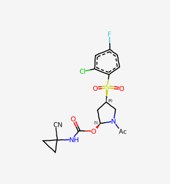 CC(=O)N1C[C@H](S(=O)(=O)c2ccc(F)cc2Cl)C[C@@H]1OC(=O)NC1(C#N)CC1